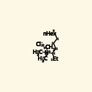 CCCCCCCCCC(CC)[N+](C)(C)C.[Cl-]